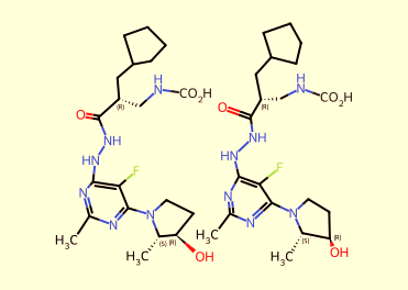 Cc1nc(NNC(=O)[C@@H](CNC(=O)O)CC2CCCC2)c(F)c(N2CC[C@@H](O)[C@@H]2C)n1.Cc1nc(NNC(=O)[C@@H](CNC(=O)O)CC2CCCC2)c(F)c(N2CC[C@@H](O)[C@@H]2C)n1